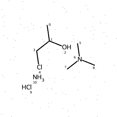 CC(O)CCl.CN(C)C.Cl.N